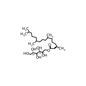 CC(=CC(=O)OC[C@@H](O)[C@H](O)[C@@H](O)[C@@H](O)CO)CCCC(C)CCCC(C)CCCC(C)C